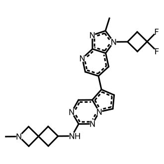 Cc1nc2ncc(-c3ccn4nc(NC5CC6(C5)CN(C)C6)ncc34)cc2n1C1CC(F)(F)C1